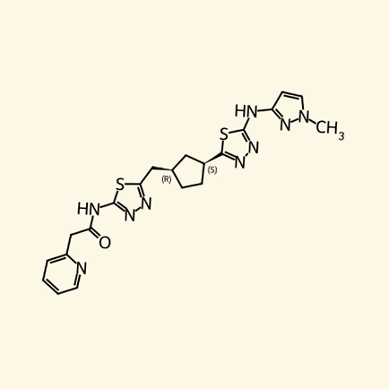 Cn1ccc(Nc2nnc([C@H]3CC[C@@H](Cc4nnc(NC(=O)Cc5ccccn5)s4)C3)s2)n1